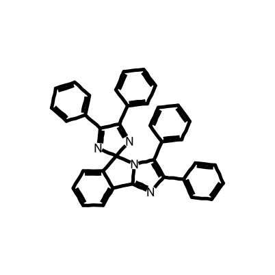 c1ccc(C2=NC3(N=C2c2ccccc2)c2ccccc2-c2nc(-c4ccccc4)c(-c4ccccc4)n23)cc1